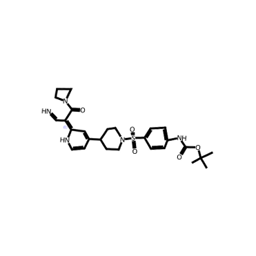 CC(C)(C)OC(=O)Nc1ccc(S(=O)(=O)N2CCC(C3=C/C(=C(/C=N)C(=O)N4CCC4)NC=C3)CC2)cc1